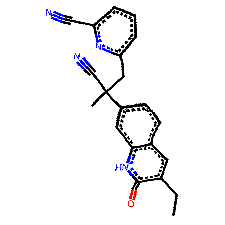 CCc1cc2ccc(C(C)(C#N)Cc3cccc(C#N)n3)cc2[nH]c1=O